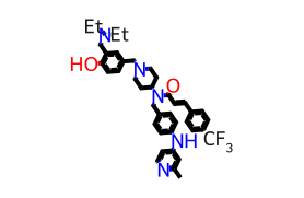 CCN(CC)Cc1cc(CN2CCC(N(Cc3ccc(Nc4ccnc(C)c4)cc3)C(=O)/C=C/c3ccc(C(F)(F)F)cc3)CC2)ccc1O